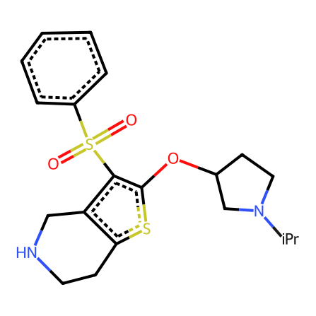 CC(C)N1CCC(Oc2sc3c(c2S(=O)(=O)c2ccccc2)CNCC3)C1